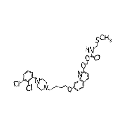 CSCNC(=O)OCOc1ccc2ccc(OCCCCN3CCN(c4cccc(Cl)c4Cl)CC3)cc2n1